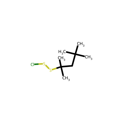 CC(C)(C)CC(C)(C)SSCl